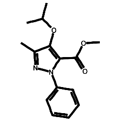 COC(=O)c1c(OC(C)C)c(C)nn1-c1ccccc1